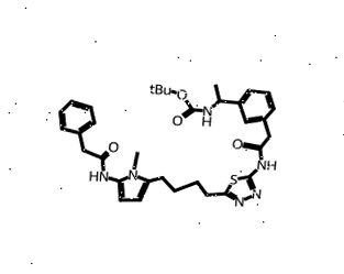 CC(NC(=O)OC(C)(C)C)c1cccc(CC(=O)Nc2nnc(CCCCc3ccc(NC(=O)Cc4ccccc4)n3C)s2)c1